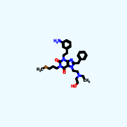 CCN(CCO)CCn1c(Cc2ccccc2)nc2c1c(=O)n(CCCSC)c(=O)n2CCc1cccc(N)c1